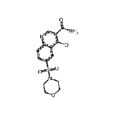 NC(=O)c1cnc2ccc(S(=O)(=O)N3CCOCC3)cc2c1Cl